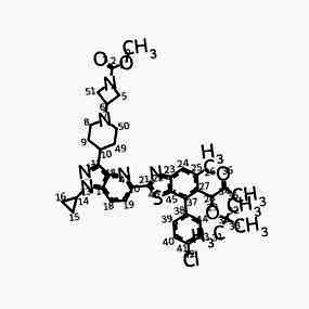 COC(=O)N1CC(N2CCC(c3nn(C4CC4)c4ccc(-c5nc6cc(C)c([C@H](OC(C)(C)C)C(C)=O)c(-c7ccc(Cl)cc7)c6s5)nc34)CC2)C1